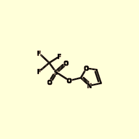 O=S(=O)(Oc1ncco1)C(F)(F)F